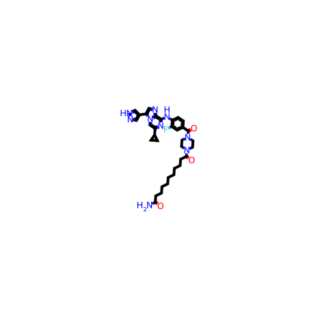 NC(=O)CCCCCCCCCC(=O)N1CCN(C(=O)c2ccc(Nc3nc(C4CC4)cn4c(-c5cn[nH]c5)cnc34)c(F)c2)CC1